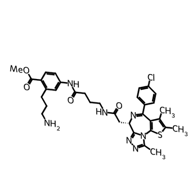 COC(=O)c1ccc(NC(=O)CCCNC(=O)C[C@@H]2N=C(c3ccc(Cl)cc3)c3c(sc(C)c3C)-n3c(C)nnc32)cc1CCCN